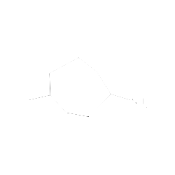 NC1CCCC(I)CC1